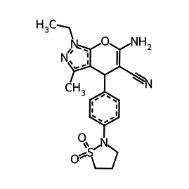 CCn1nc(C)c2c1OC(N)=C(C#N)C2c1ccc(N2CCCS2(=O)=O)cc1